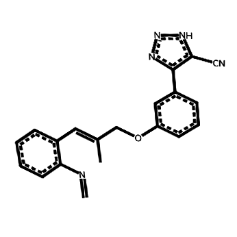 C=Nc1ccccc1/C=C(\C)COc1cccc(-c2nn[nH]c2C#N)c1